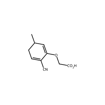 CC1C=C(OCC(=O)O)C(C#N)=CC1